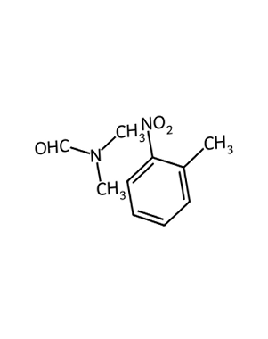 CN(C)C=O.Cc1ccccc1[N+](=O)[O-]